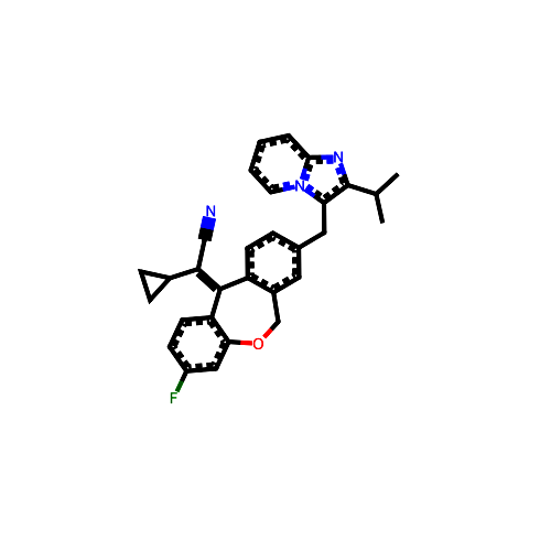 CC(C)c1nc2ccccn2c1Cc1ccc2c(c1)COc1cc(F)ccc1/C2=C(/C#N)C1CC1